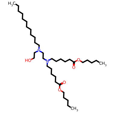 CCCCCCCCCCCCN(CCO)CCN(CCCCCC(=O)OCCCCC)CCCCCC(=O)OCCCCC